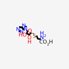 N[C@@H](CCSC[C@H]1O[C@@H](n2cnc3cncnc32)[C@H](O)[C@@H]1O)C(=O)O